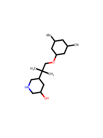 CC(C)(C)C1CC(C#N)CC(OCC(C)(C)C2CNCC(O)C2)C1